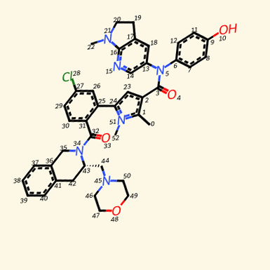 Cc1c(C(=O)N(c2ccc(O)cc2)c2cnc3c(c2)CCN3C)cc(-c2cc(Cl)ccc2C(=O)N2Cc3ccccc3C[C@H]2CN2CCOCC2)n1C